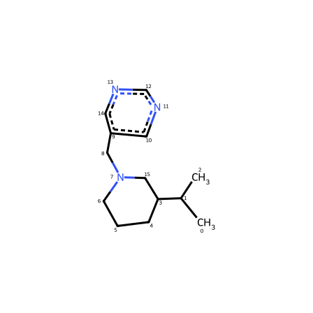 CC(C)C1CCCN(Cc2cncnc2)C1